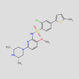 COc1ccc(N2C[C@@H](C)N[C@@H](C)C2)nc1NS(=O)(=O)c1ccc(-c2ccc(C)s2)cc1Cl